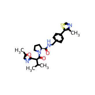 Cc1cnc(C(C(=O)N2CCC[C@H]2C(=O)NCc2ccc(-c3scnc3C)cc2)C(C)C)o1